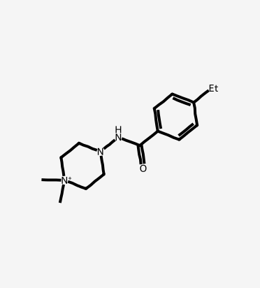 CCc1ccc(C(=O)NN2CC[N+](C)(C)CC2)cc1